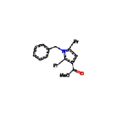 COC(=O)c1cc(C(C)C)n(Cc2ccccc2)c1C(C)C